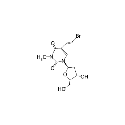 Cn1c(=O)c(/C=C/Br)cn([C@H]2C[C@H](O)[C@@H](CO)O2)c1=O